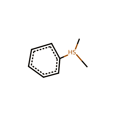 C[SH](C)c1ccccc1